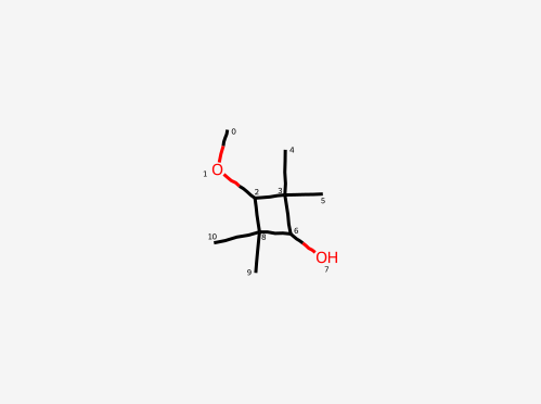 COC1C(C)(C)C(O)C1(C)C